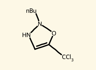 CCCCN1NC=C(C(Cl)(Cl)Cl)O1